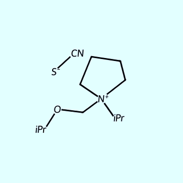 CC(C)OC[N+]1(C(C)C)CCCC1.N#C[S-]